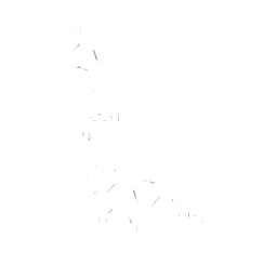 COc1ccc2c(c1)C(=O)C(=O)C1=C2OC2(CCN(C[C@H](O)COc3ccc(Cl)cc3)CC2)CS1